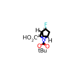 CC(C)(C)OC(=O)N1[C@H]2C[C@H]([C@H]1C(=O)O)[C@@H](F)C2